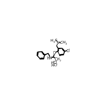 CC(NCc1ccccc1)Oc1ccc(Cl)cc1CN(C)C.Cl.Cl